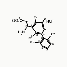 CCOC(=O)C[C@H](N)c1c(F)c(C)cc(-c2c(F)cccc2F)c1F.Cl